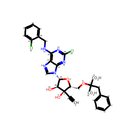 C#C[C@@]1(O)[C@@H](COC(Cc2ccccc2)(C(=O)O)C(=O)O)O[C@@H](n2cnc3c(NCc4ccccc4Cl)nc(Cl)nc32)[C@@H]1O